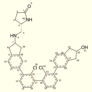 O=C1CC[C@@H](CNC2Cc3ccc(-c4cccc(-c5cccc(-c6ccc7c(c6)CC(O)C7)c5Cl)c4Cl)cc3C2)N1